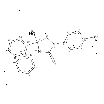 O=C1N(c2ccc(Br)cc2)CC(O)(c2ccccc2)N1c1ccccc1